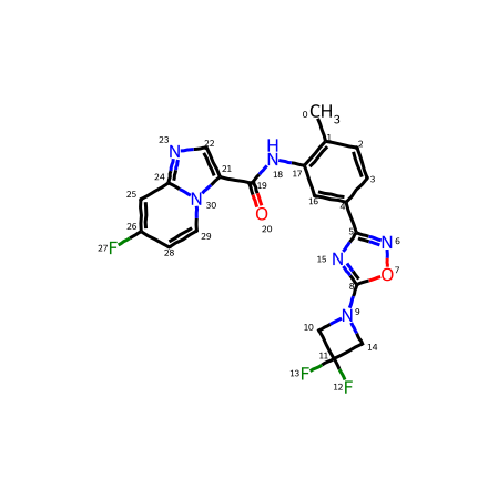 Cc1ccc(-c2noc(N3CC(F)(F)C3)n2)cc1NC(=O)c1cnc2cc(F)ccn12